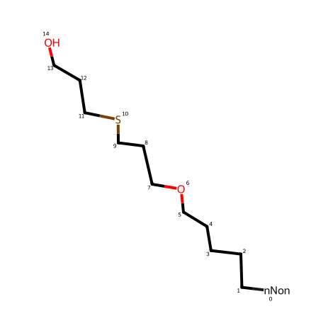 CCCCCCCCCCCCCCOCCCSCCCO